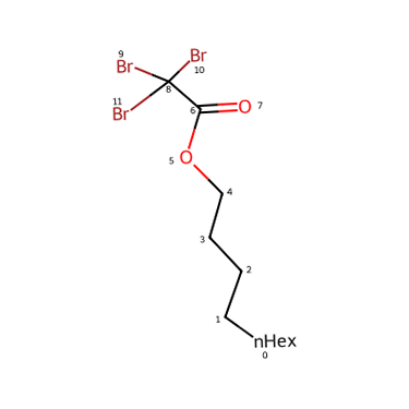 CCCCCCCCCCOC(=O)C(Br)(Br)Br